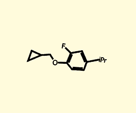 CC(C)c1ccc(OCC2CC2)c(F)c1